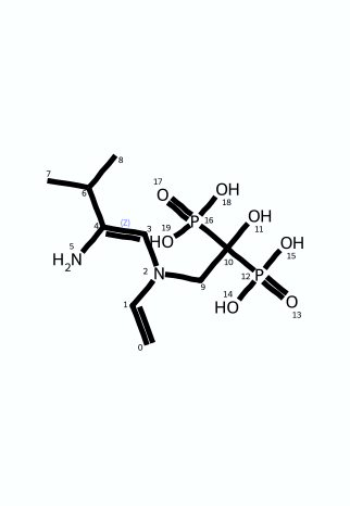 C=CN(/C=C(\N)C(C)C)CC(O)(P(=O)(O)O)P(=O)(O)O